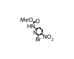 COC(=O)Nc1ccc([N+](=O)[O-])c(Br)n1